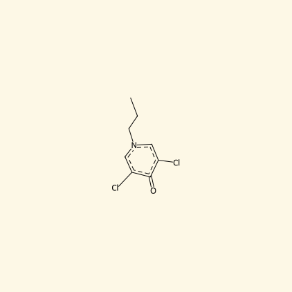 CCCn1cc(Cl)c(=O)c(Cl)c1